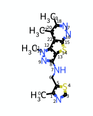 Cc1ncsc1CNc1nn(C)c2c1sc1nnc(C)c(C)c12